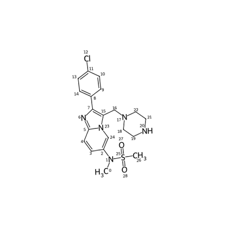 CN(c1ccc2nc(-c3ccc(Cl)cc3)c(CN3CCNCC3)n2c1)S(C)(=O)=O